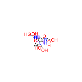 CC(=O)N(CC(O)CO)C1=C(I)C(I)(C(=O)NCC(O)CO)CC(C(=O)NCC(O)CO)=C1I